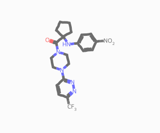 O=C(N1CCN(c2ccc(C(F)(F)F)nn2)CC1)C1(Nc2ccc([N+](=O)[O-])cc2)CCCC1